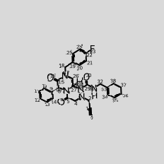 C#CCN1CC(=O)N2[C@@H](c3ccccc3)C(=O)N(Cc3ccc(F)cc3)C[C@@H]2N1C(=O)NCc1ccccc1